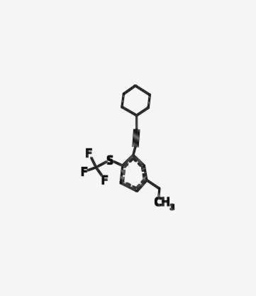 CCc1ccc(SC(F)(F)F)c(C#CC2CCCCC2)c1